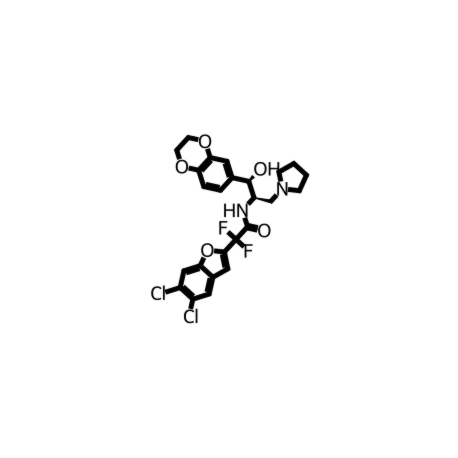 O=C(N[C@H](CN1CCCC1)[C@H](O)c1ccc2c(c1)OCCO2)C(F)(F)c1cc2cc(Cl)c(Cl)cc2o1